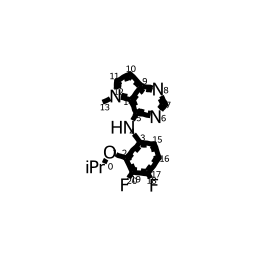 CC(C)Oc1c(Nc2ncnc3ccn(C)c23)ccc(F)c1F